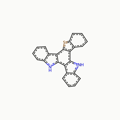 c1ccc2c(c1)[nH]c1c2c2[nH]c3ccccc3c2c2sc3ccccc3c12